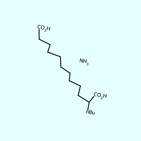 CCCCC(CCCCCCCCCC(=O)O)C(=O)O.N